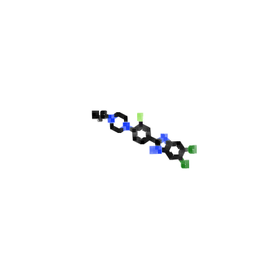 CN1CCN(c2ccc(-c3nc4cc(Cl)c(Cl)cc4[nH]3)cc2F)CC1